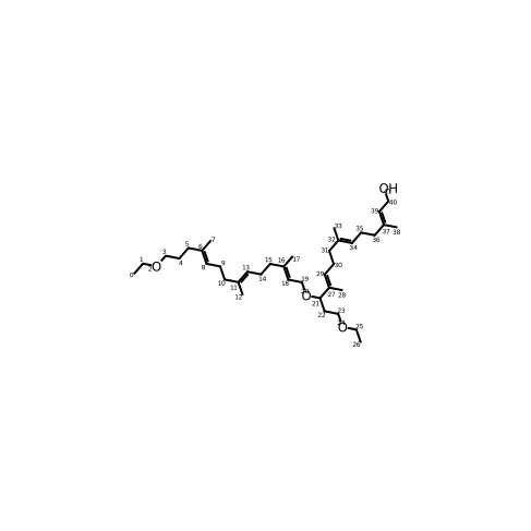 CCOCCCC(C)=CCCC(C)=CCCC(C)=CCOC(CCOCC)C(C)=CCCC(C)=CCCC(C)=CCO